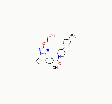 Cc1cc(C2CCC2)c(-c2nnc(OCCO)[nH]2)cc1C(=O)N1CCC(c2ccc([N+](=O)[O-])cc2)CC1